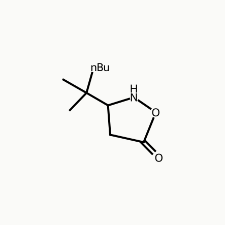 CCCCC(C)(C)C1CC(=O)ON1